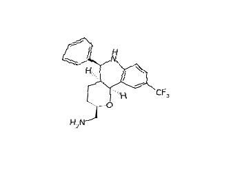 NC[C@H]1CC[C@H]2[C@@H](c3ccccc3)Nc3ccc(C(F)(F)F)cc3[C@H]2O1